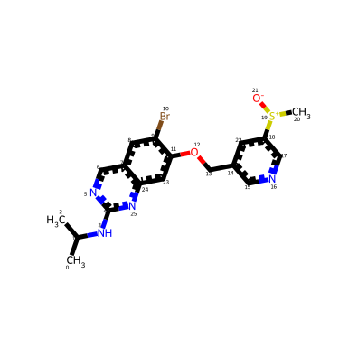 CC(C)Nc1ncc2cc(Br)c(OCc3cncc([S+](C)[O-])c3)cc2n1